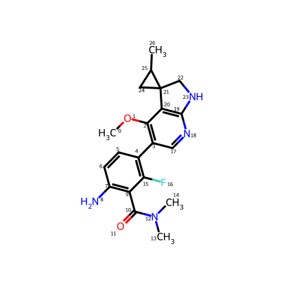 COc1c(-c2ccc(N)c(C(=O)N(C)C)c2F)cnc2c1C1(CN2)CC1C